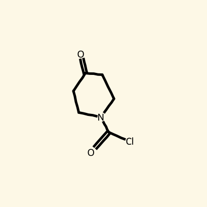 O=C1CCN(C(=O)Cl)CC1